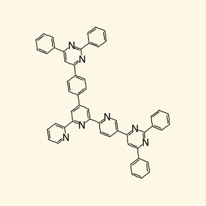 c1ccc(-c2cc(-c3ccc(-c4cc(-c5ccccn5)nc(-c5ccc(-c6cc(-c7ccccc7)nc(-c7ccccc7)n6)cn5)c4)cc3)nc(-c3ccccc3)n2)cc1